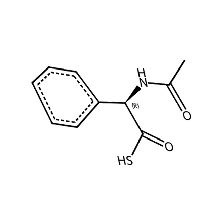 CC(=O)N[C@@H](C(=O)S)c1ccccc1